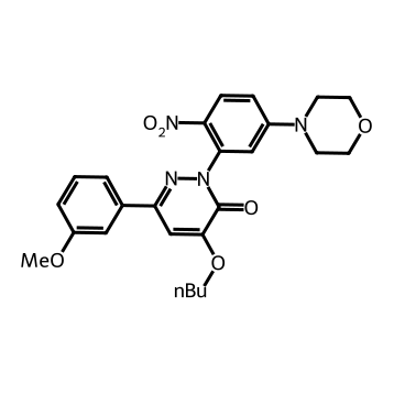 CCCCOc1cc(-c2cccc(OC)c2)nn(-c2cc(N3CCOCC3)ccc2[N+](=O)[O-])c1=O